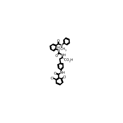 CN(C(=O)c1ccccc1NC(=O)N[C@@H](Cc1ccc(NC(=O)c2c(Cl)cccc2Cl)cc1)C(=O)O)c1ccccc1